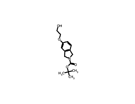 CC(C)(C)OC(=O)N1Cc2ccc(OCCO)cc2C1